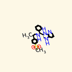 C[C@@H](CN[C@H](c1ccccc1)[C@H]1CNc2cccnc2N1)c1ccc(S(C)(=O)=O)cc1